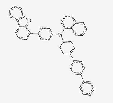 C1=C(c2ccc(-c3ccccc3)cc2)CCC(N(c2ccc(-c3cccc4c3oc3ccccc34)cc2)c2cccc3ccccc23)=C1